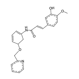 COc1ccc(/C=C/C(=O)NC2=CC=CC(OCc3ccccn3)C2)cc1O